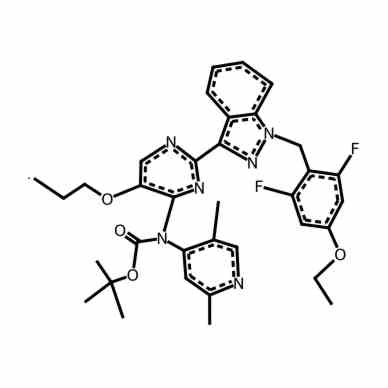 [CH2]CCOc1cnc(-c2nn(Cc3c(F)cc(OCC)cc3F)c3ccccc23)nc1N(C(=O)OC(C)(C)C)c1cc(C)ncc1C